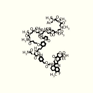 CC[C@@]1(O)C(=O)OCc2c1cc1n(c2=O)Cc2c-1nc1cc(F)c(C)c3c1c2[C@@H](NC(=O)OCc1ccc(NC(=O)[C@H](CC(N)=O)NC(=O)CCc2ccc(N4C(=O)C=CC4=O)cc2OCCCC(=O)N(C)CC(=O)N(C)CC(=O)N(C)CC(=O)N(C)CC(=O)N(C)CC(=O)N(C)CC(=O)N(C)CC(=O)N(C)CC(=O)N(C)CC(=O)N(C)CC(C)=O)cc1)CC3